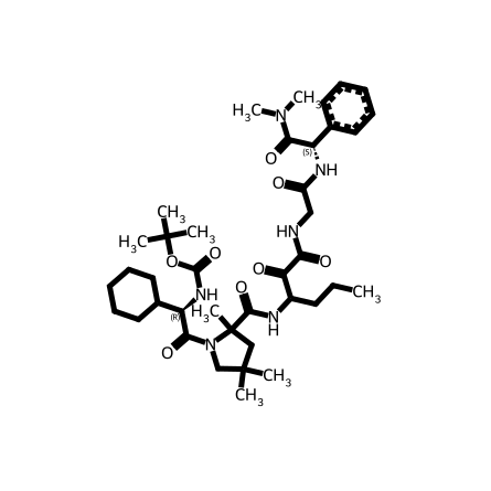 CCCC(NC(=O)C1(C)CC(C)(C)CN1C(=O)[C@H](NC(=O)OC(C)(C)C)C1CCCCC1)C(=O)C(=O)NCC(=O)N[C@H](C(=O)N(C)C)c1ccccc1